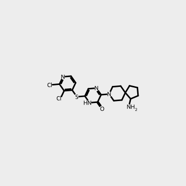 NC1CCCC12CCN(c1ncc(Sc3ccnc(Cl)c3Cl)[nH]c1=O)CC2